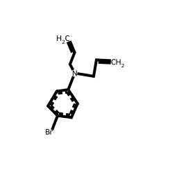 C=CCN(CC=C)c1ccc(Br)cc1